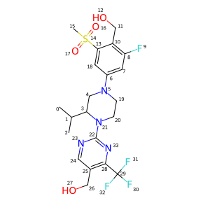 CC(C)C1CN(c2cc(F)c(CO)c(S(C)(=O)=O)c2)CCN1c1ncc(CO)c(C(F)(F)F)n1